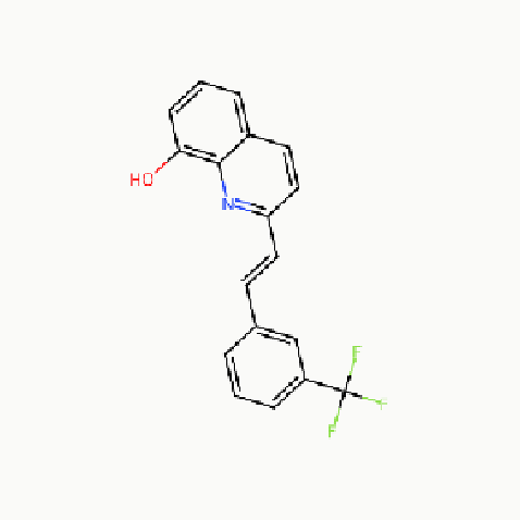 Oc1cccc2ccc(C=Cc3cccc(C(F)(F)F)c3)nc12